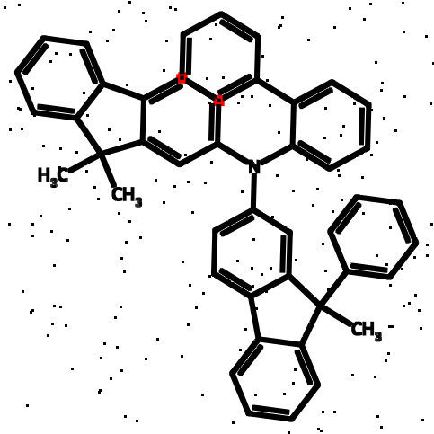 CC1(C)c2ccccc2-c2ccc(N(c3ccc4c(c3)C(C)(c3ccccc3)c3ccccc3-4)c3ccccc3-c3ccccc3)cc21